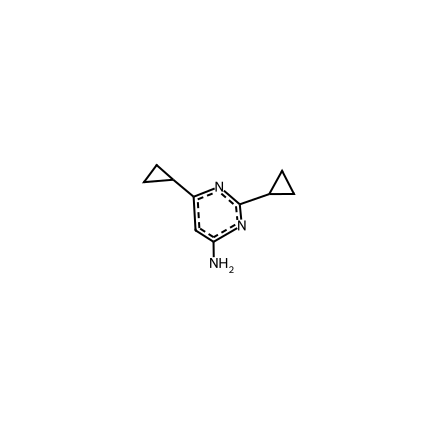 Nc1cc(C2CC2)nc(C2CC2)n1